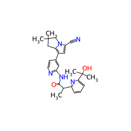 CC(C(=O)Nc1cc(-c2cc(C#N)n3c2CC(C)(C)C3)ccn1)c1cccc(C(C)(C)O)n1